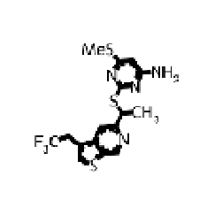 CSc1cc(N)nc(SC(C)c2cc3c(CC(F)(F)F)csc3cn2)n1